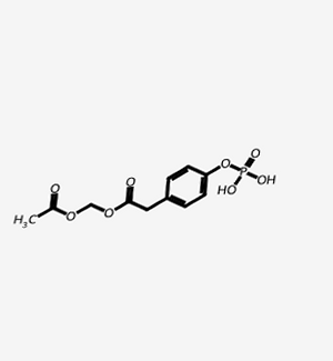 CC(=O)OCOC(=O)Cc1ccc(OP(=O)(O)O)cc1